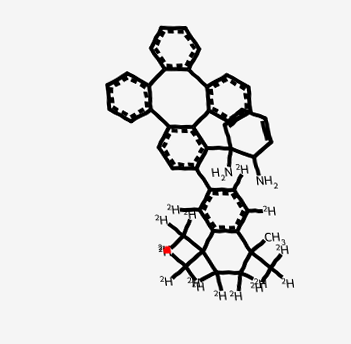 [2H]c1c([2H])c2c(c([2H])c1-c1ccc3c(c1C1(N)C=CC=CC1N)-c1ccccc1-c1ccccc1-c1ccccc1-3)C(C([2H])([2H])[2H])(C([2H])([2H])[2H])C([2H])([2H])C([2H])([2H])C2(C)C([2H])([2H])[2H]